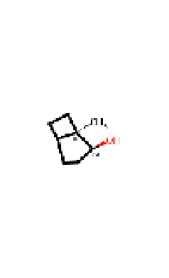 C[C@@]12CCC1CC[C@@H]2O